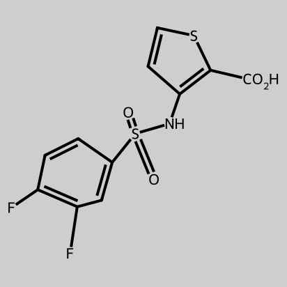 O=C(O)c1sccc1NS(=O)(=O)c1ccc(F)c(F)c1